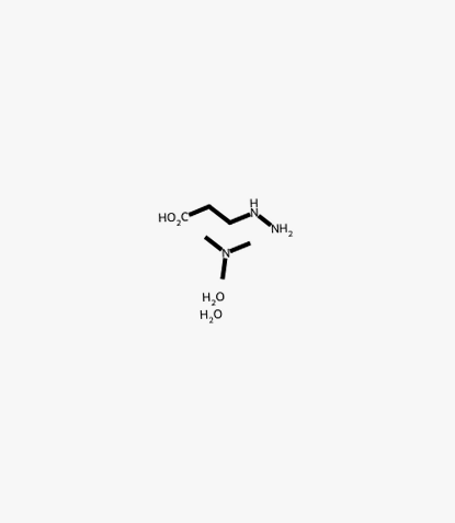 CN(C)C.NNCCC(=O)O.O.O